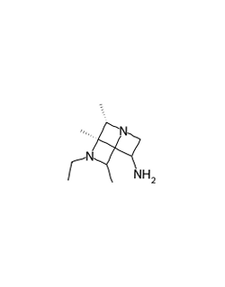 CCN1C(C)C23C(N)CN2[C@@H](C)[C@]13C